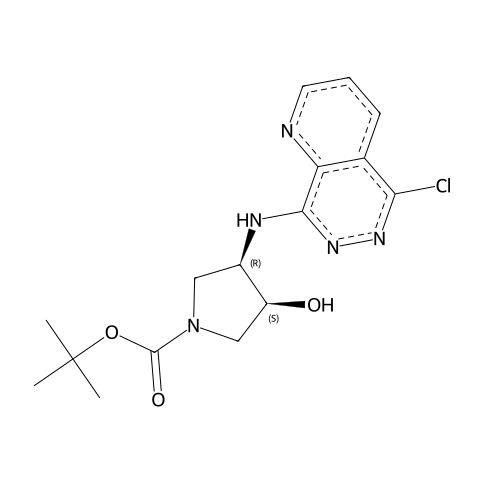 CC(C)(C)OC(=O)N1C[C@H](O)[C@H](Nc2nnc(Cl)c3cccnc23)C1